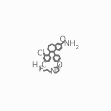 Cc1ccc(C2=C(c3ccc(O[C@H]4CCN(CCCF)C4)cc3)c3ccc(C(N)=O)cc3CCC2)c(Cl)c1